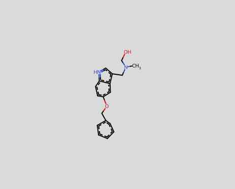 CN(CO)Cc1c[nH]c2ccc(OCc3ccccc3)cc12